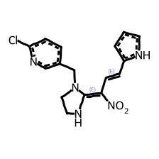 O=[N+]([O-])C(/C=C/c1ccc[nH]1)=C1\NCCN1Cc1ccc(Cl)nc1